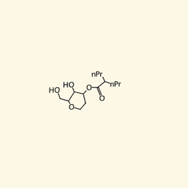 CCCC(CCC)C(=O)OC1CCOC(CO)C1O